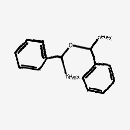 CCCCCCC(OC(CCCCCC)c1ccccc1)c1ccccc1